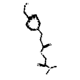 CN(C)C(=O)COC(=O)CCc1ccc(CO)cc1